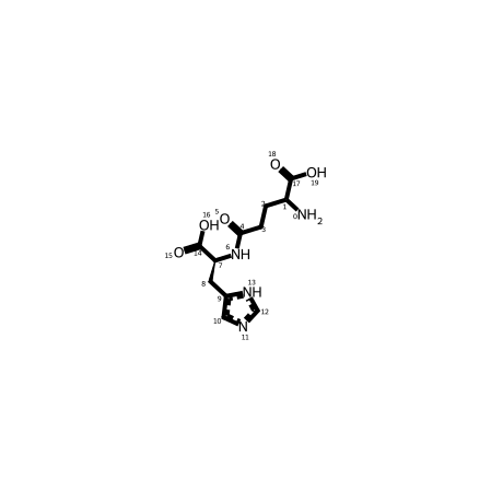 NC(CCC(=O)N[C@@H](Cc1cnc[nH]1)C(=O)O)C(=O)O